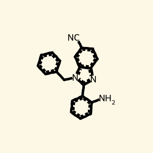 N#Cc1ccc2nc(-c3ccccc3N)n(Cc3ccccc3)c2c1